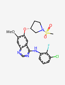 COc1cc2ncnc(Nc3cccc(Cl)c3F)c2cc1O[C@@H]1CCN(S(C)(=O)=O)C1